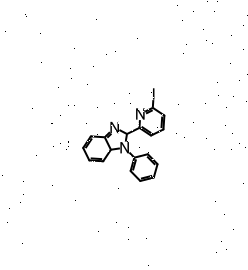 Ic1cccc(C2N=C3C=CC=CC3N2c2ccccc2)n1